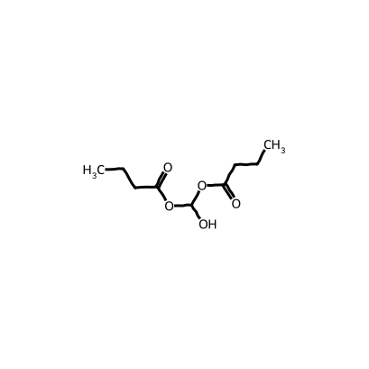 CCCC(=O)OC(O)OC(=O)CCC